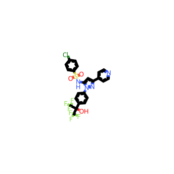 O=S(=O)(Nc1cc(-c2ccncc2)nn1-c1ccc(C(O)(C(F)(F)F)C(F)(F)F)cc1)c1ccc(Cl)cc1